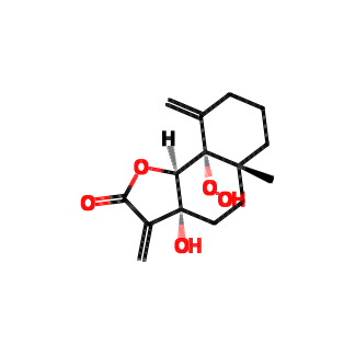 C=C1C(=O)O[C@@H]2[C@@]1(O)CC[C@@]1(C)CCCC(=C)[C@]21OO